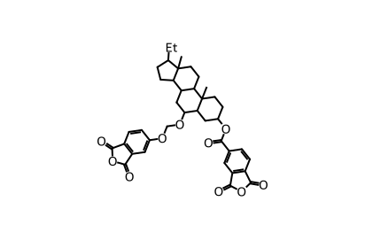 CCC1CCC2C3CC(OCOc4ccc5c(c4)C(=O)OC5=O)C4CC(OC(=O)c5ccc6c(c5)C(=O)OC6=O)CCC4(C)C3CCC12C